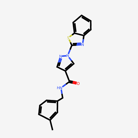 Cc1cccc(CNC(=O)c2cnn(-c3nc4ccccc4s3)c2)c1